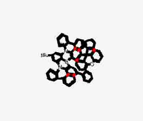 CC(C)(C)c1cc2c3c(c1)N(c1ccccc1-c1ccccc1)c1cc4c(cc1B3c1cc(-c3ccccc3)ccc1N2c1ccccc1-c1ccccc1)C1(c2ccccc2Oc2ccccc21)c1ccccc1-4